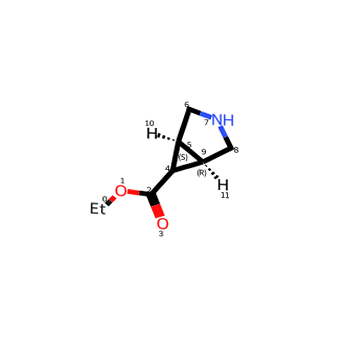 CCOC(=O)C1[C@H]2CNC[C@@H]12